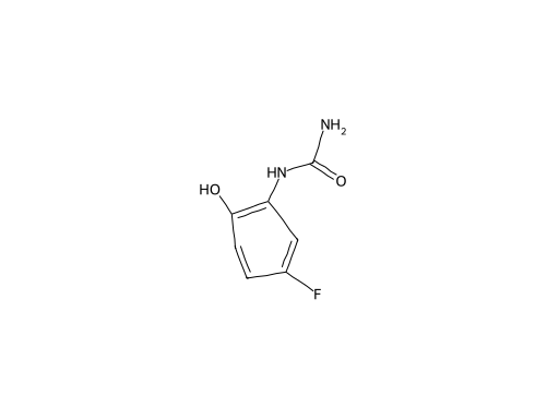 NC(=O)Nc1cc(F)ccc1O